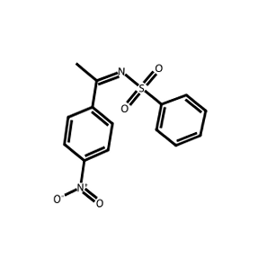 CC(=NS(=O)(=O)c1ccccc1)c1ccc([N+](=O)[O-])cc1